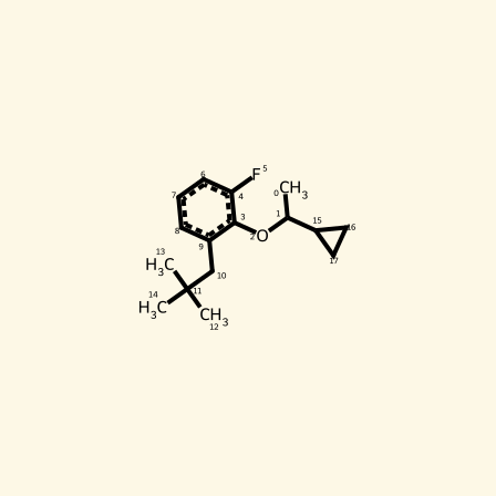 CC(Oc1c(F)cccc1CC(C)(C)C)C1CC1